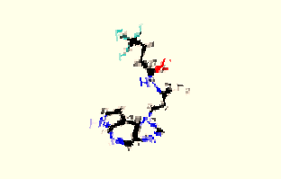 C=C(CCn1cnc2cnc3[nH]ccc3c21)NC(=O)CCC(F)(F)F